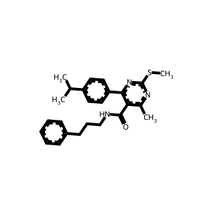 CSc1nc(C)c(C(=O)NCCCc2ccccc2)c(-c2ccc(C(C)C)cc2)n1